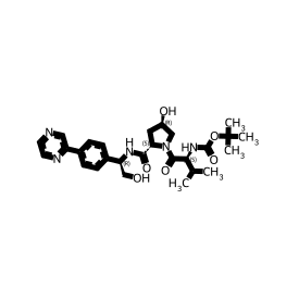 CC(C)[C@H](NC(=O)OC(C)(C)C)C(=O)N1C[C@H](O)C[C@H]1C(=O)N[C@@H](CO)c1ccc(-c2cnccn2)cc1